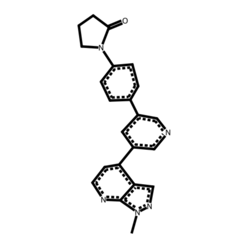 Cn1ncc2c(-c3cncc(-c4ccc(N5CCCC5=O)cc4)c3)ccnc21